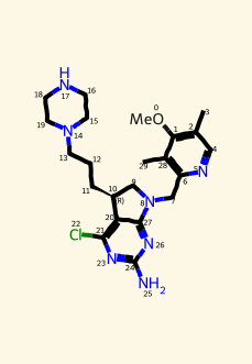 COc1c(C)cnc(CN2C[C@H](CCCN3CCNCC3)c3c(Cl)nc(N)nc32)c1C